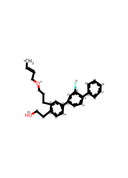 C/C=C/COCCCc1cc(-c2ccc(-c3ccccc3)c(F)c2)ccc1CCO